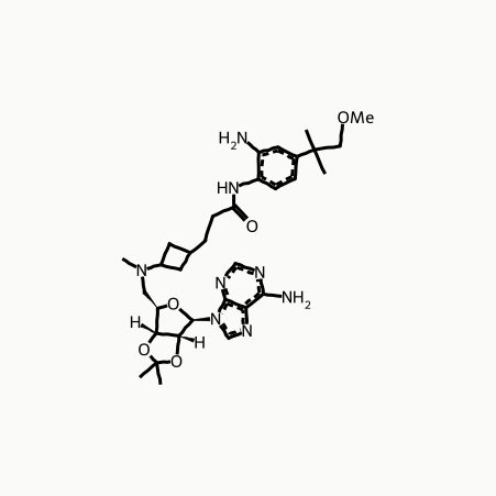 COCC(C)(C)c1ccc(NC(=O)CCC2CC(N(C)C[C@H]3O[C@@H](n4cnc5c(N)ncnc54)[C@@H]4OC(C)(C)O[C@@H]43)C2)c(N)c1